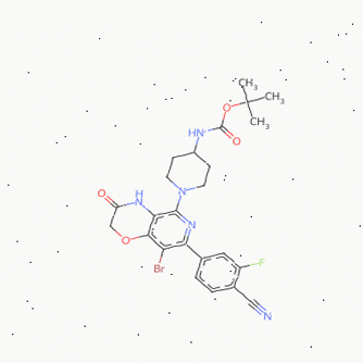 CC(C)(C)OC(=O)NC1CCN(c2nc(-c3ccc(C#N)c(F)c3)c(Br)c3c2NC(=O)CO3)CC1